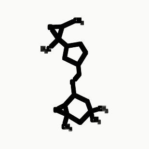 CC1OC1(C)C1CCC(COC2CC(C)(C)CC3(C)OC23)C1